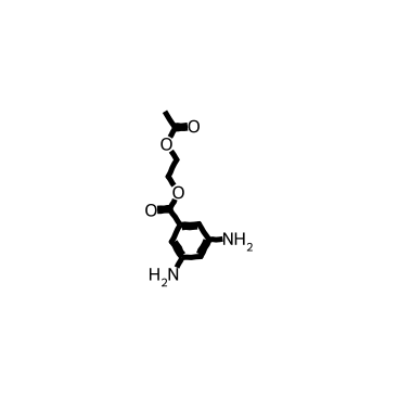 CC(=O)OCCOC(=O)c1cc(N)cc(N)c1